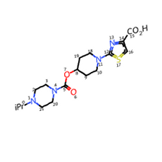 CC(C)N1CCN(C(=O)OC2CCN(c3nc(C(=O)O)cs3)CC2)CC1